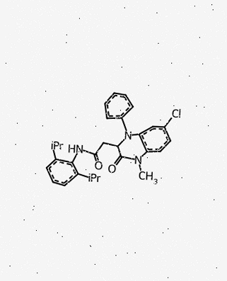 CC(C)c1cccc(C(C)C)c1NC(=O)CC1C(=O)N(C)c2ccc(Cl)cc2N1c1ccccc1